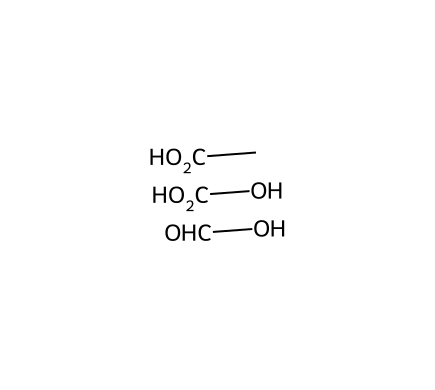 CC(=O)O.O=C(O)O.O=CO